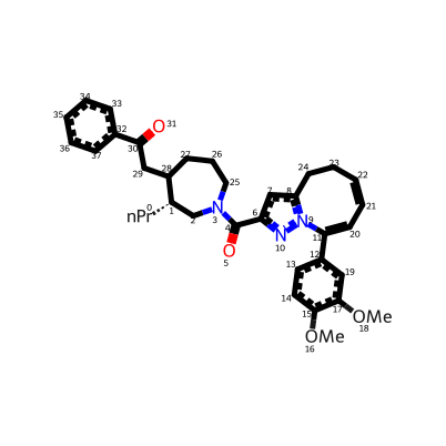 CCC[C@H]1CN(C(=O)c2cc3n(n2)/C(c2ccc(OC)c(OC)c2)=C\C=C/CC3)CCCC1CC(=O)c1ccccc1